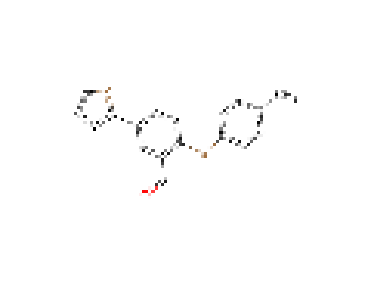 Cc1ccc(Sc2ccc(-c3cccs3)cc2C=O)cc1